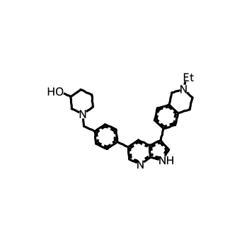 CCN1CCc2cc(-c3c[nH]c4ncc(-c5ccc(CN6CCCC(O)C6)cc5)cc34)ccc2C1